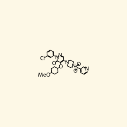 COC1CCC(Oc2c(N3CCN(S(=O)(=O)c4cccnc4)CC3)cnn(-c3cccc(Cl)c3)c2=O)CC1